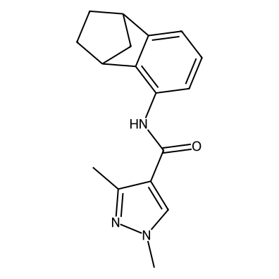 Cc1nn(C)cc1C(=O)Nc1cccc2c1C1CCC2C1